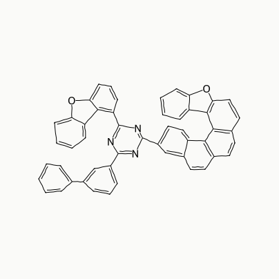 c1ccc(-c2cccc(-c3nc(-c4ccc5c(ccc6ccc7ccc8oc9ccccc9c8c7c65)c4)nc(-c4cccc5oc6ccccc6c45)n3)c2)cc1